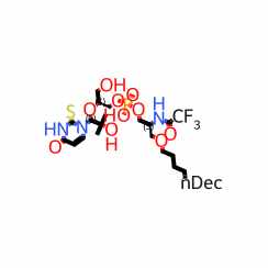 CCCCCCCCCCCCCCOC[C@@H](COP(=O)(O)OC[C@H](CO)O[C@@H](n1ccc(=O)[nH]c1=S)C(C)(C)O)NC(=O)C(F)(F)F